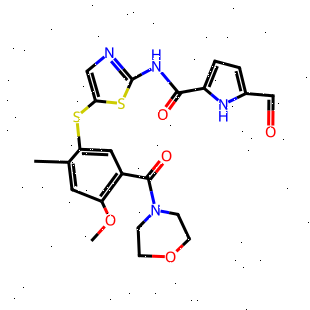 COc1cc(C)c(Sc2cnc(NC(=O)c3ccc(C=O)[nH]3)s2)cc1C(=O)N1CCOCC1